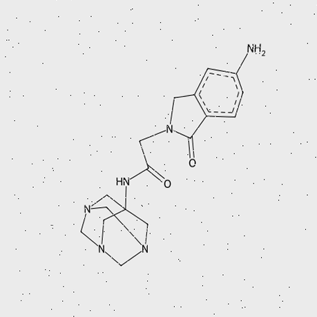 Nc1ccc2c(c1)CN(CC(=O)NC13CN4CN(CN(C4)C1)C3)C2=O